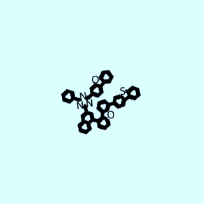 c1ccc(-c2nc(-c3cc(-c4cccc5oc6c(-c7ccc8c(c7)sc7ccccc78)cccc6c45)c4ccccc4c3)nc(-c3ccc4c(c3)oc3ccccc34)n2)cc1